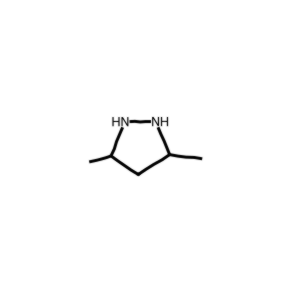 CC1CC(C)NN1